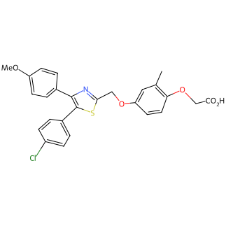 COc1ccc(-c2nc(COc3ccc(OCC(=O)O)c(C)c3)sc2-c2ccc(Cl)cc2)cc1